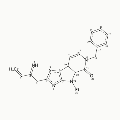 C=CC(=N)Cc1nc2c(s1)C1C=NN(Cc3ccccc3)C(=O)C1N2CC